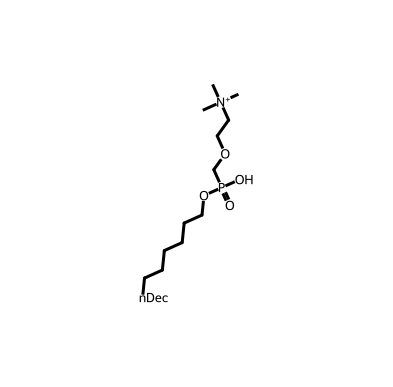 CCCCCCCCCCCCCCCCOP(=O)(O)COCC[N+](C)(C)C